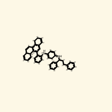 C1=CC2C=Cc3c4c(cc(-c5ccccc5NC5=CCC(NC(CCc6ccccc6)c6ccccc6)C=C5)c3C2C=C1)C=CCC4